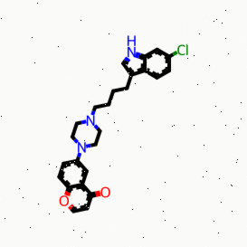 O=c1ccoc2ccc(N3CCN(CCCCc4c[nH]c5cc(Cl)ccc45)CC3)cc12